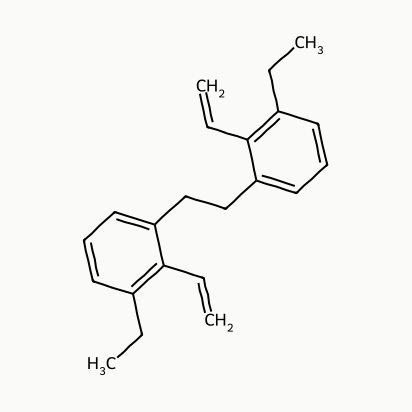 C=Cc1c(CC)cccc1CCc1cccc(CC)c1C=C